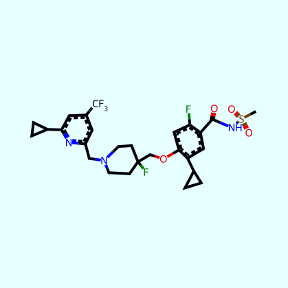 CS(=O)(=O)NC(=O)c1cc(C2CC2)c(OCC2(F)CCN(Cc3cc(C(F)(F)F)cc(C4CC4)n3)CC2)cc1F